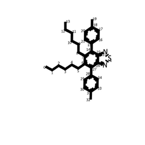 CCCCCCc1c(CCCCCC)c(-c2ccc(C)cc2)c2nsnc2c1-c1ccc(C)cc1